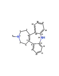 CN1CCC2=C(CC1)c1ccccc1Nc1ccccc12